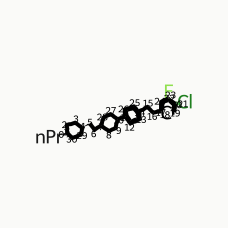 CCC[C@H]1CC[C@H](CCC2CCC(c3ccc(CCc4ccc(Cl)c(F)c4)cc3)CC2)CC1